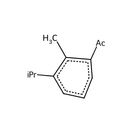 CC(=O)c1cccc(C(C)C)c1C